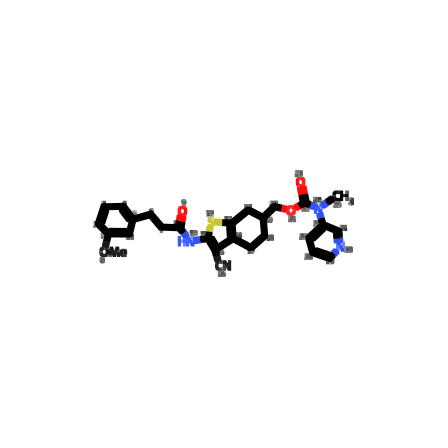 COc1cccc(CCC(=O)Nc2sc3c(c2C#N)CCC(COC(=O)N(C)c2cccnc2)C3)c1